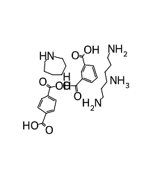 C1CCCNCC1.N.NCCCCCCN.O=C(O)c1ccc(C(=O)O)cc1.O=C(O)c1cccc(C(=O)O)c1